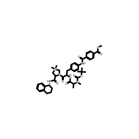 COC(=O)c1ccc(C(=O)Nc2ccc(CC(NC(=O)C(C)N(C)C(=O)OC(C)(C)C)C(=O)N3C[Si](C)(C)CC3C(=O)N[C@@H]3CCCc4ccccc43)cc2)cc1